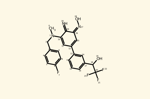 CN(Cc1ccc(F)cc1)C1=CC(c2cccc(C(O)C(F)(F)F)c2)=C/C(=N/O)C1=N